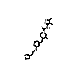 Cc1noc(NC(=O)N2CCC(=Cc3cccc(OCCc4ccsc4)c3)C(C)C2)c1C